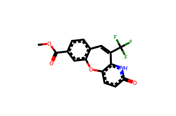 COC(=O)c1ccc2c(c1)Oc1ccc(=O)[nH]c1C(C(F)(F)F)=C2